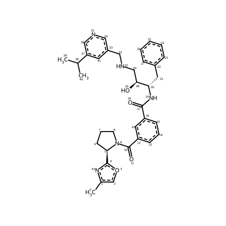 Cc1coc([C@H]2CCCN2C(=O)c2cccc(C(=O)N[C@@H](Cc3ccccc3)[C@@H](O)CNCc3cncc(C(C)C)c3)c2)n1